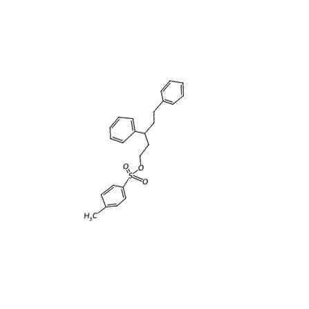 Cc1ccc(S(=O)(=O)OCCC(CCc2ccccc2)c2ccccc2)cc1